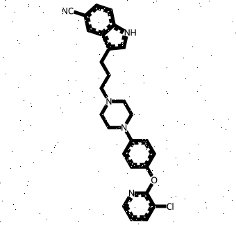 N#Cc1ccc2[nH]cc(CCCN3CCN(c4ccc(Oc5ncccc5Cl)cc4)CC3)c2c1